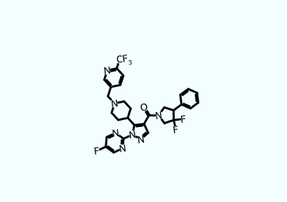 O=C(c1cnn(-c2ncc(F)cn2)c1C1CCN(Cc2ccc(C(F)(F)F)nc2)CC1)N1CC(c2ccccc2)C(F)(F)C1